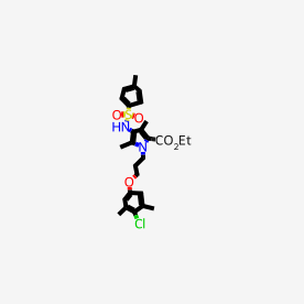 CCOC(=O)c1c(C)c(NS(=O)(=O)c2ccc(C)cc2)c(C)n1CCCOc1cc(C)c(Cl)c(C)c1